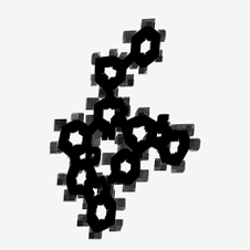 c1ccc(-c2cccc(-c3cc(-c4cccc5c4oc4c5ccc5c6ccccc6n(-c6ccccc6)c54)nc(-c4ccc5c(c4)sc4ccccc45)n3)c2)cc1